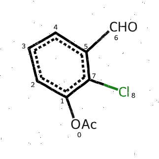 CC(=O)Oc1cccc(C=O)c1Cl